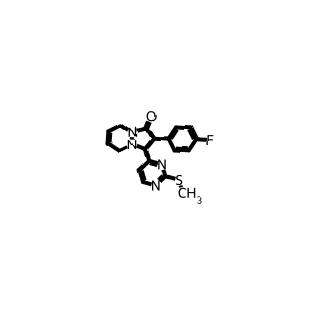 CSc1nccc(C2C(c3ccc(F)cc3)C(=O)N3CC=CCN23)n1